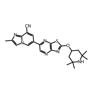 Cc1cn2cc(-c3cnc4nc(OC5CC(C)(C)NC(C)(C)C5)sc4n3)cc(C#N)c2n1